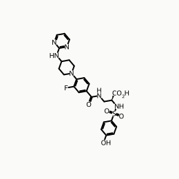 O=C(NC[C@H](NS(=O)(=O)c1ccc(O)cc1)C(=O)O)c1ccc(N2CCC(Nc3ncccn3)CC2)c(F)c1